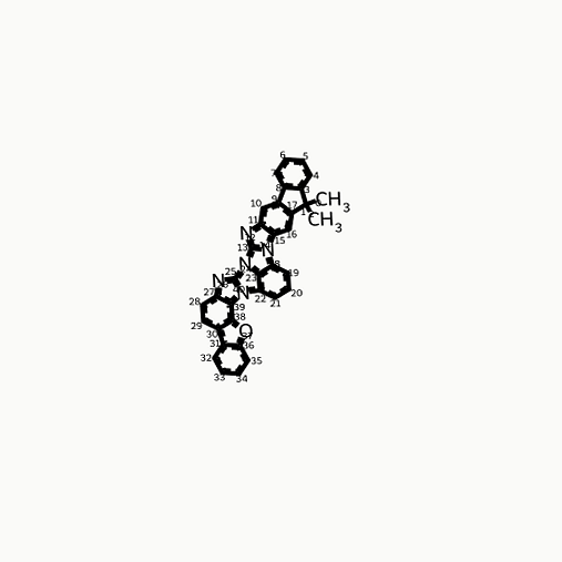 CC1(C)c2ccccc2-c2cc3nc4n(c3cc21)c1cccc2c1n4c1nc3ccc4c5ccccc5oc4c3n21